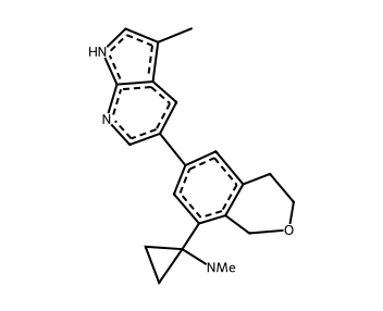 CNC1(c2cc(-c3cnc4[nH]cc(C)c4c3)cc3c2COCC3)CC1